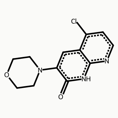 O=c1[nH]c2nccc(Cl)c2cc1N1CCOCC1